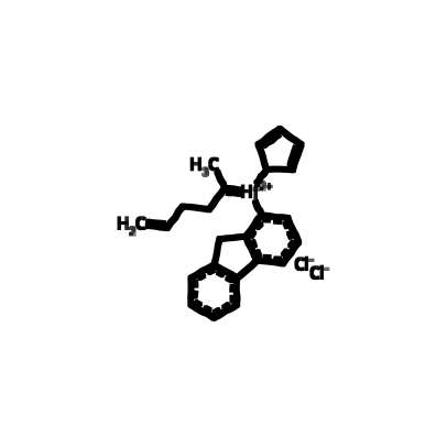 C=CCC[C](C)=[Hf+2]([c]1cccc2c1Cc1ccccc1-2)[CH]1C=CC=C1.[Cl-].[Cl-]